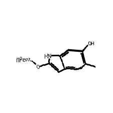 CCCCCOc1cc2cc(C)c(O)cc2[nH]1